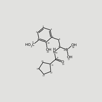 O=C(O)c1cccc(CC(NC(=O)C2CCCC2)B(O)O)c1O